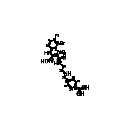 O/N=C(\Nc1ccc(F)c(Br)c1)c1nonc1NCCNCc1ccc(B(O)O)cc1